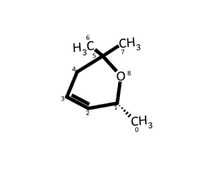 C[C@@H]1C=CCC(C)(C)O1